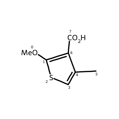 COc1scc(C)c1C(=O)O